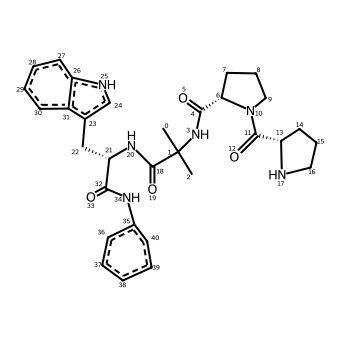 CC(C)(NC(=O)[C@@H]1CCCN1C(=O)[C@@H]1CCCN1)C(=O)N[C@@H](Cc1c[nH]c2ccccc12)C(=O)Nc1ccccc1